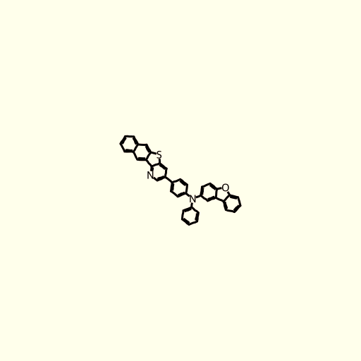 c1ccc(N(c2ccc(-c3cnc4c(c3)sc3cc5ccccc5cc34)cc2)c2ccc3oc4ccccc4c3c2)cc1